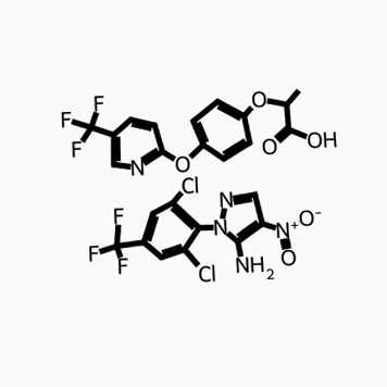 CC(Oc1ccc(Oc2ccc(C(F)(F)F)cn2)cc1)C(=O)O.Nc1c([N+](=O)[O-])cnn1-c1c(Cl)cc(C(F)(F)F)cc1Cl